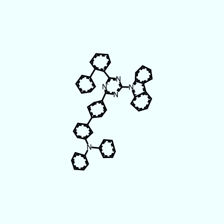 c1ccc(-c2ccccc2-c2nc(-c3ccc(-c4cccc(N(c5ccccc5)c5ccccc5)c4)cc3)nc(-n3c4ccccc4c4ccccc43)n2)cc1